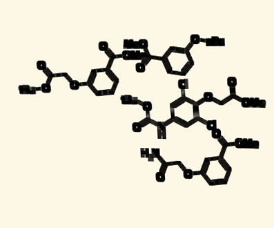 CCCCOc1cccc(C(=O)OC)c1.COC(=O)COc1c(Cl)cc(NC(=O)OC(C)(C)C)cc1Cl.COC(=O)c1cccc(OCC(=O)OC(C)(C)C)c1.COC(=O)c1cccc(OCC(N)=O)c1